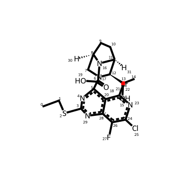 CCSc1nc(N2C[C@H]3CC[C@@H]([C@H]2C(C)O)N3C(=O)O)c2c(Br)nc(Cl)c(F)c2n1